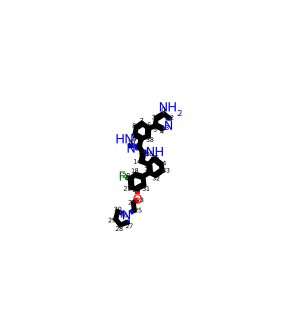 Nc1cncc(-c2ccc3[nH]nc(-c4cc5c(-c6cc(F)cc(OCCN7CCCC7)c6)cccc5[nH]4)c3c2)c1